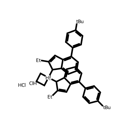 CCC1=Cc2c(-c3ccc(C(C)(C)C)cc3)cccc2[CH]1[Hf]1([CH]2C(CC)=Cc3c(-c4ccc(C(C)(C)C)cc4)cccc32)[CH2]C[CH2]1.Cl.Cl